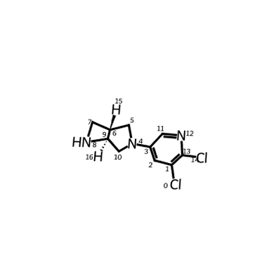 Clc1cc(N2C[C@H]3CN[C@@H]3C2)cnc1Cl